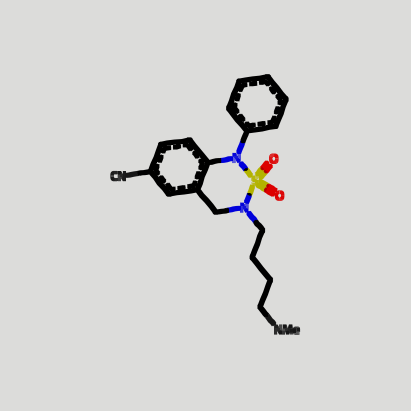 [C-]#[N+]c1ccc2c(c1)CN(CCCCNC)S(=O)(=O)N2c1ccccc1